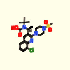 C[C@@H](c1cc2cccc(Cl)c2nc1N1CCN(S(C)(=O)=O)CC1)N(C(=O)O)C(C)(C)C